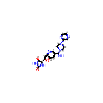 N=C(c1cnc2cc([C@H]3NC(=O)NC3=O)oc2c1)N1CCN(c2cnccn2)CC1